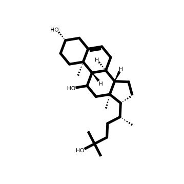 C[C@H](CCC(C)(C)O)[C@H]1CC[C@H]2[C@@H]3CC=C4C[C@@H](O)CC[C@]4(C)[C@H]3C(O)C[C@]12C